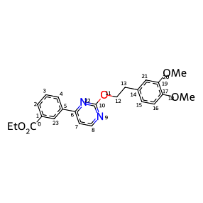 CCOC(=O)c1cccc(-c2ccnc(OCCc3ccc(OC)c(OC)c3)n2)c1